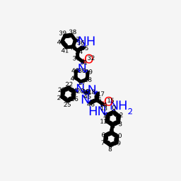 Nc1ccc(-c2ccccc2)cc1NC(=O)c1cnc(N(c2ccccc2)C2CCN(C(=O)CC3=CNC4C=CC=CC34)CC2)nc1